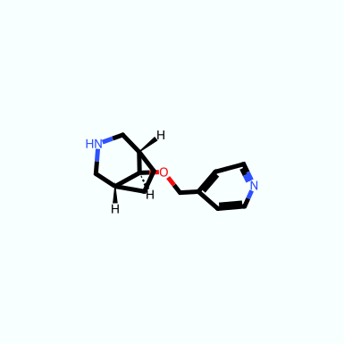 c1cc(CO[C@H]2[C@@H]3CC[C@H]2CNC3)ccn1